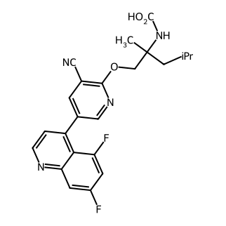 CC(C)CC(C)(COc1ncc(-c2ccnc3cc(F)cc(F)c23)cc1C#N)NC(=O)O